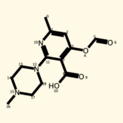 Cc1cc(OC=O)c(C(=O)O)c(N2CCN(C)CC2)n1